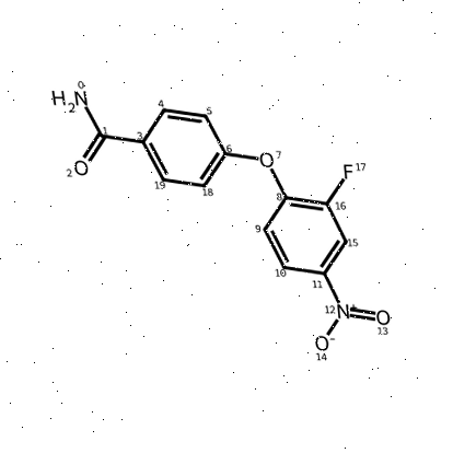 NC(=O)c1ccc(Oc2ccc([N+](=O)[O-])cc2F)cc1